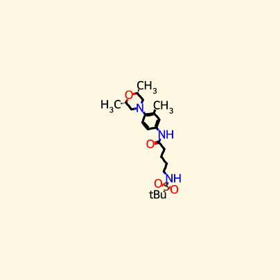 Cc1cc(NC(=O)CCCCNS(=O)(=O)C(C)(C)C)ccc1N1C[C@@H](C)O[C@@H](C)C1